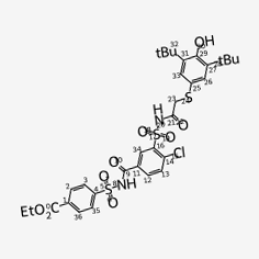 CCOC(=O)c1ccc(S(=O)(=O)NC(=O)c2ccc(Cl)c(S(=O)(=O)NC(=O)CSc3cc(C(C)(C)C)c(O)c(C(C)(C)C)c3)c2)cc1